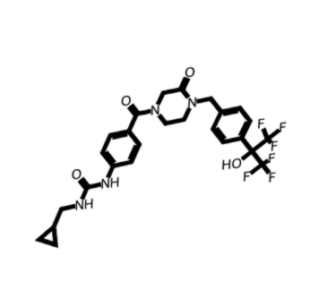 O=C(NCC1CC1)Nc1ccc(C(=O)N2CCN(Cc3ccc(C(O)(C(F)(F)F)C(F)(F)F)cc3)C(=O)C2)cc1